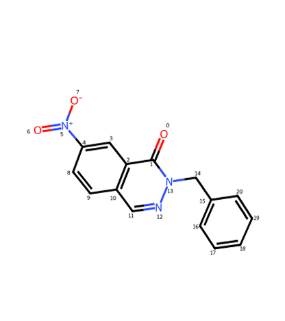 O=c1c2cc([N+](=O)[O-])ccc2cnn1Cc1ccccc1